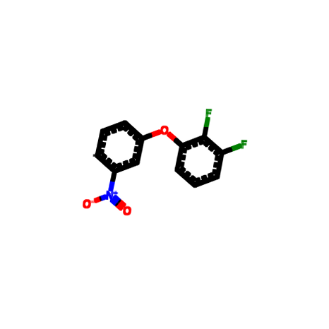 O=[N+]([O-])c1[c]ccc(Oc2cccc(F)c2F)c1